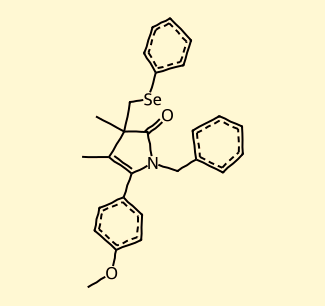 COc1ccc(C2=C(C)C(C)(C[Se]c3ccccc3)C(=O)N2Cc2ccccc2)cc1